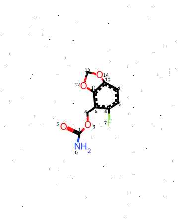 NC(=O)OCc1c(F)ccc2c1OCO2